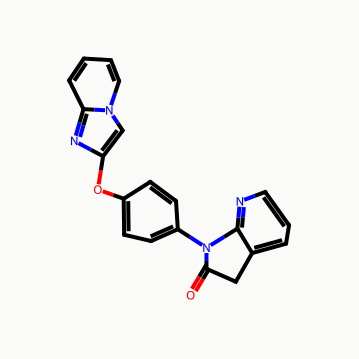 O=C1Cc2cccnc2N1c1ccc(Oc2cn3ccccc3n2)cc1